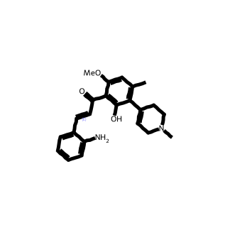 COc1cc(C)c(C2=CCN(C)CC2)c(O)c1C(=O)/C=C/c1ccccc1N